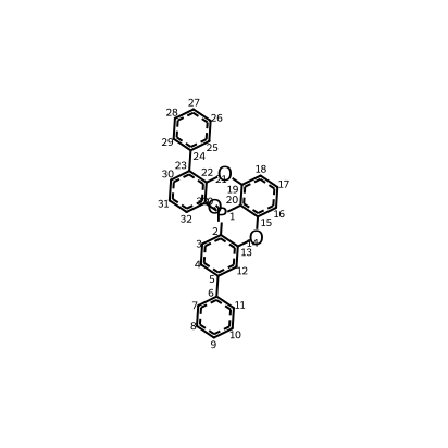 O=P12c3ccc(-c4ccccc4)cc3Oc3cccc(c31)Oc1c(-c3ccccc3)cccc12